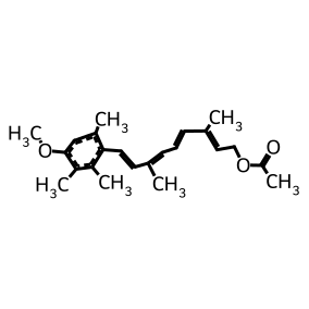 COc1cc(C)c(C=CC(C)=CC=CC(C)=CCOC(C)=O)c(C)c1C